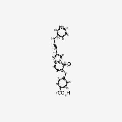 O=C(O)c1ccc(Cc2ccc3sc(C#CCc4cccnc4)cn3c2=O)cc1